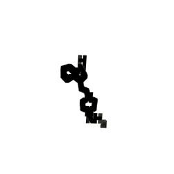 NN1CCN(CCc2c[nH]c3ccccc23)CC1